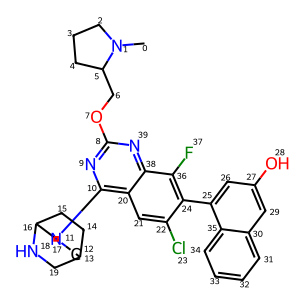 CN1CCCC1COc1nc(N2CC3CCC(C2)NC3)c2cc(Cl)c(-c3cc(O)cc4ccccc34)c(F)c2n1